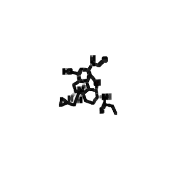 CCC(=S)N[C@@H]1CC[C@H]2[C@H]3Cc4c(O)cc(NC=O)c5c4[C@@]2(CCN3CC2CC2)[C@H]1O5